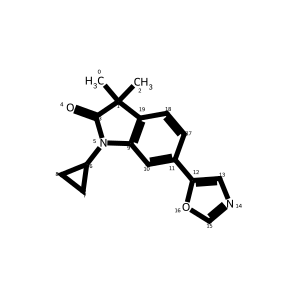 CC1(C)C(=O)N(C2CC2)c2cc(-c3cnco3)ccc21